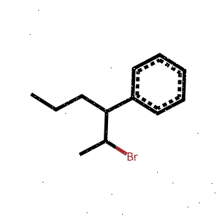 CCCC(c1ccccc1)C(C)Br